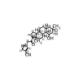 C[C@@]1(O)CC(O)[C@H]2[C@H](CC[C@@H]3[C@@H]2CC[C@]2(C)[C@@H](C(=O)Cn4cc(C#N)cn4)CC[C@@H]32)C1